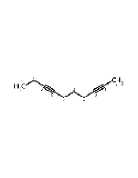 CC#CCCCC#C[CH]C